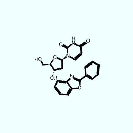 O=c1ccn([C@H]2C[C@H](O)[C@@H](CO)O2)c(=O)[nH]1.c1ccc(-c2nc3ccccc3o2)cc1